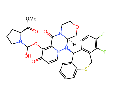 COC(=O)[C@@H]1CCCN1C(O)Oc1c2n(ccc1=O)N([C@@H]1c3ccccc3SCc3c1ccc(F)c3F)[C@@H]1COCCN1C2=O